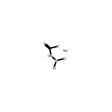 CCN(CC)NC(=S)[S-].[Na+]